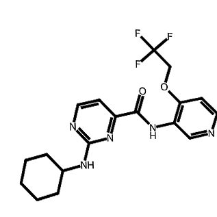 O=C(Nc1cnccc1OCC(F)(F)F)c1ccnc(NC2CCCCC2)n1